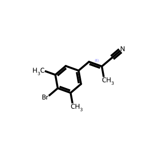 C/C(C#N)=C\c1cc(C)c(Br)c(C)c1